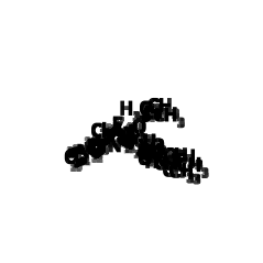 CC(C)(C)[Si](C)(C)O[C@@H]1CO[C@H]2[C@@H]1OC[C@H]2Oc1cc2nc(-c3ccc(N4CCOCC4)cc3)c(Cl)c(F)c2n1COCC[Si](C)(C)C